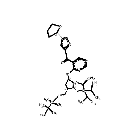 CC(C)[Si](O[C@H]1C[C@H](Nc2ncncc2C(=O)c2cc([C@@H]3CCCO3)co2)C[C@@H]1CO[Si](C)(C)C(C)(C)C)(C(C)C)C(C)C